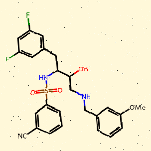 COc1cccc(CNCC(O)C(Cc2cc(F)cc(F)c2)NS(=O)(=O)c2cccc(C#N)c2)c1